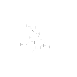 BBBB(BBBI)B(BB)BI